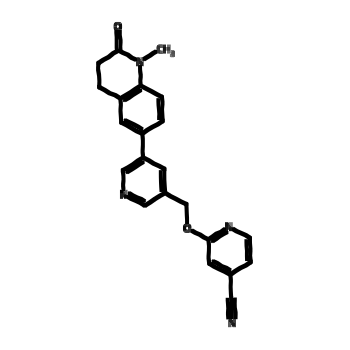 CN1C(=O)CCc2cc(-c3cncc(COc4cc(C#N)ccn4)c3)ccc21